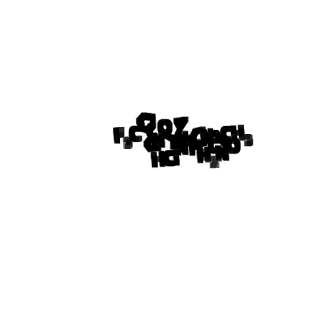 CC(C)(CN1CCC(n2ncc(C(=O)N3CCCC3c3ccccc3C(F)(F)F)c2C2CC2)CC1)C(N)=O.Cl